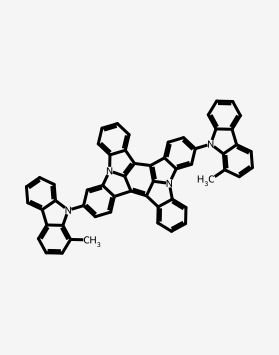 Cc1cccc2c3ccccc3n(-c3ccc4c5c6c7ccccc7n7c8cc(-n9c%10ccccc%10c%10cccc(C)c%109)ccc8c(c8c9ccccc9n(c4c3)c85)c67)c12